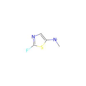 C[N]c1cnc(F)s1